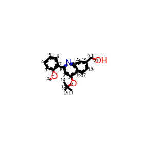 COc1ccccc1-c1cc(OC(C)(C)C)c2ccc(CO)cc2n1